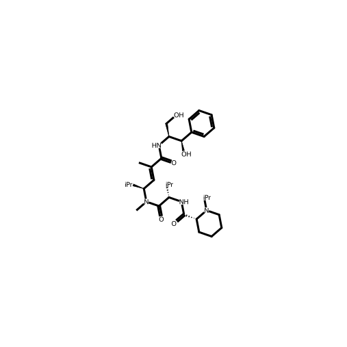 C/C(=C\[C@H](C(C)C)N(C)C(=O)[C@@H](NC(=O)[C@H]1CCCCN1C(C)C)C(C)C)C(=O)N[C@@H](CO)[C@H](O)c1ccccc1